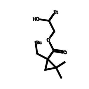 CCC(O)COC(=O)C1(CC(C)(C)C)CC1(C)C